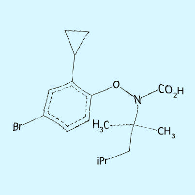 CC(C)CC(C)(C)N(Oc1ccc(Br)cc1C1CC1)C(=O)O